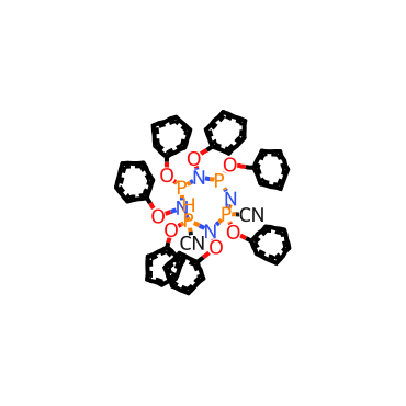 N#CP1(Oc2ccccc2)=NP(Oc2ccccc2)N(Oc2ccccc2)P(Oc2ccccc2)N(Oc2ccccc2)[PH](C#N)(Oc2ccccc2)N1Oc1ccccc1